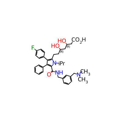 CC(C)n1c(CC[C@@H](O)C[C@@H](O)CC(=O)O)c(-c2ccc(F)cc2)c(-c2ccccc2)c1C(=O)NCc1cccc(CN(C)C)c1